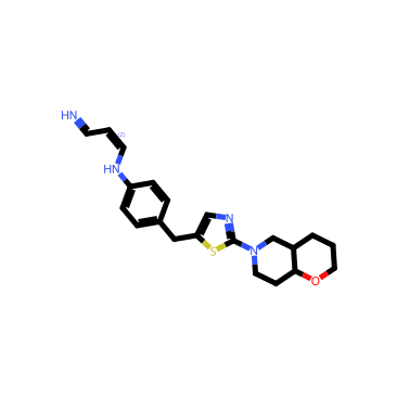 N=C/C=C\Nc1ccc(Cc2cnc(N3CCC4OCCCC4C3)s2)cc1